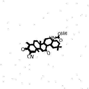 COC(=O)NC12CCC3C(C(=O)C=C4C5(C)C=C(C#N)C(=O)C(C)C5CCC43C)C1CC(C)(C)CC2